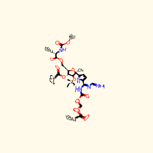 CCC(=O)O[C@H]1C(O[Si](C)(C)C)[C@](C#N)(c2ccc(/C(=N\C=N)NC(=O)OCOC(=O)C(C)(C)C)[nH]2)O[C@@H]1COC(=O)[C@@H](NC(=O)OC(C)(C)C)C(C)(C)C